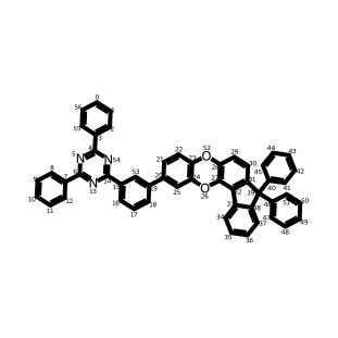 c1ccc(-c2nc(-c3ccccc3)nc(-c3cccc(-c4ccc5c(c4)Oc4c(ccc6c4-c4ccccc4C6(c4ccccc4)c4ccccc4)O5)c3)n2)cc1